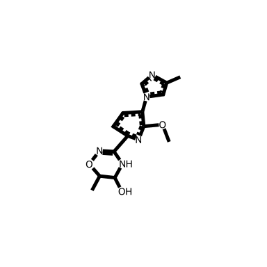 COc1nc(C2=NOC(C)C(O)N2)ccc1-n1cnc(C)c1